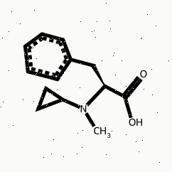 CN(C1CC1)[C@@H](Cc1ccccc1)C(=O)O